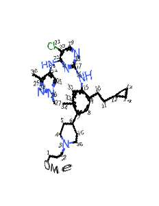 COCCN1CCC(c2cc(CCC3CC3)c(Nc3ncc(Cl)c(Nc4cn(C)nc4C)n3)cc2C)CC1